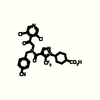 N#Cc1ccc(CN(CC(=O)c2c(Cl)cncc2Cl)C(=O)c2cnn(C3CCC(C(=O)O)CC3)c2C(F)(F)F)cc1